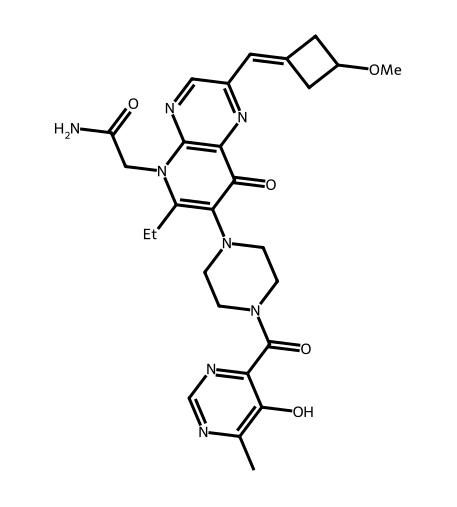 CCc1c(N2CCN(C(=O)c3ncnc(C)c3O)CC2)c(=O)c2nc(C=C3CC(OC)C3)cnc2n1CC(N)=O